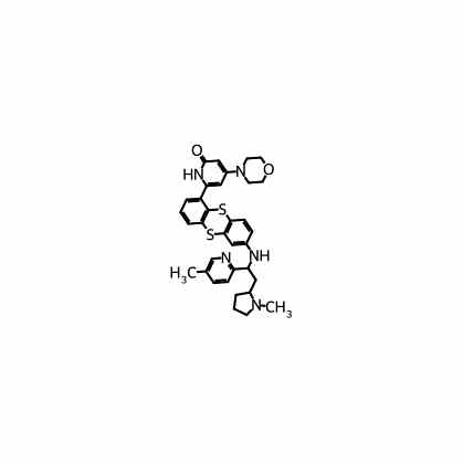 Cc1ccc(C(CC2CCCN2C)Nc2ccc3c(c2)Sc2cccc(-c4cc(N5CCOCC5)cc(=O)[nH]4)c2S3)nc1